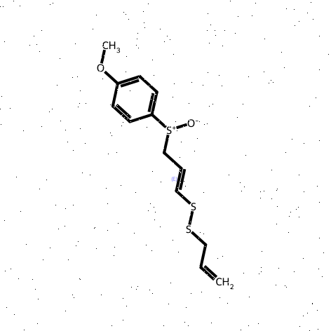 C=CCSS/C=C/C[S+]([O-])c1ccc(OC)cc1